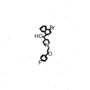 O=C(CCN1CCC(C(O)c2ccc(Br)c3ccccc23)CC1)c1ccc(F)cc1